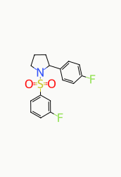 O=S(=O)(c1cccc(F)c1)N1CCCC1c1ccc(F)cc1